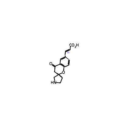 O=C(O)/C=C/c1ccc2c(c1)C(=O)CC1(CCNC1)O2